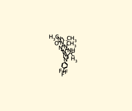 CC(C)[C@H]1CN(C)C(=O)N1c1ncnc(N[C@@H](C)c2cn(-c3ccc(C(F)(F)F)cc3)cn2)n1